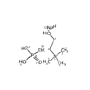 C[N+](C)(C)CCO.O=P(O)(O)O.[NaH]